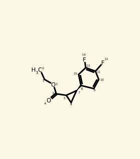 CCOC(=O)C1C[C@@H]1c1ccc(F)c(F)c1